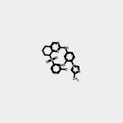 COc1cc(Nc2ncc3c(n2)C(S(=O)(=O)c2cccc(Cl)c2)CCC3)ccc1-n1cnc(C)c1